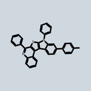 Cc1ccc(-c2ccc3c4c5c(sc4n(-c4ccccc4)c3c2)c(-c2ccccc2)nc2ccccc25)cc1